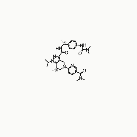 CC(C)n1nc(C(=O)N[C@H](C)c2ccc(NC(=O)N(C)C)cc2)c2c1[C@@H](C)CN(c1ccc(C(=O)N(C)C)cn1)C2